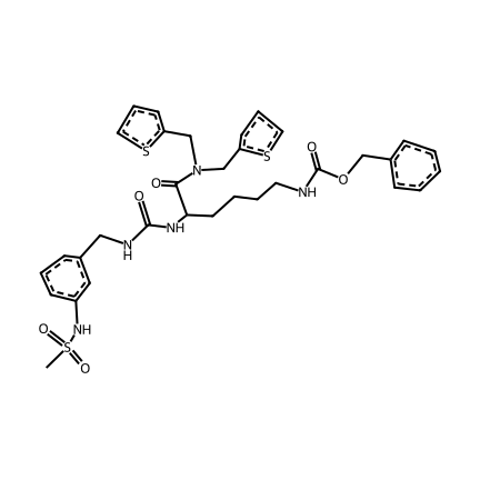 CS(=O)(=O)Nc1cccc(CNC(=O)NC(CCCCNC(=O)OCc2ccccc2)C(=O)N(Cc2cccs2)Cc2cccs2)c1